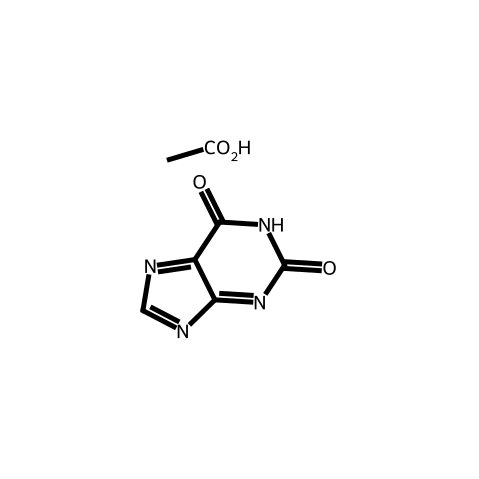 CC(=O)O.O=C1N=C2N=CN=C2C(=O)N1